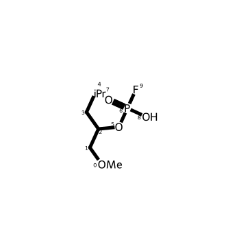 COCC(CC(C)C)OP(=O)(O)F